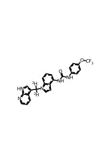 [2H]C([2H])(c1c[nH]c2ncccc12)n1ccc2c(NC(=O)Nc3ccc(OC(F)(F)F)cc3)cccc21